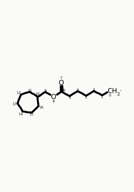 [CH2]CCCCCC(=O)OCC1CCCCCC1